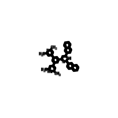 CC1=CC(c2cc(C3=NC(c4ccc5ccccc5c4)NC(c4ccc5ccccc5c4)=C3)cc(-c3cc(C)nc(C)c3)c2)=CC(C)N1